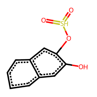 O=[SH](=O)Oc1cc2ccccc2cc1O